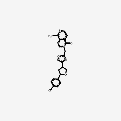 Nc1nccc2c(=O)n(Cc3nc(C4COC(c5ccc(Cl)cc5)C4)no3)cnc12